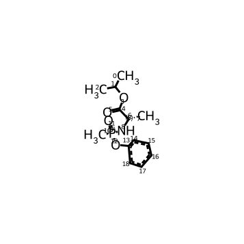 CC(C)OC(=O)[C@H](C)N[P@@](C)(=O)Oc1ccccc1